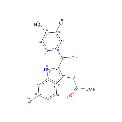 COC(=O)Cc1c(C(=O)c2cc(C)c(C)cn2)[nH]c2cc(Cl)ccc12